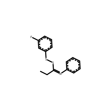 CCC(=Nc1ccccc1)SSc1cccc(F)c1